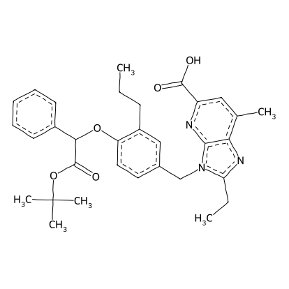 CCCc1cc(Cn2c(CC)nc3c(C)cc(C(=O)O)nc32)ccc1OC(C(=O)OC(C)(C)C)c1ccccc1